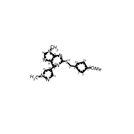 COc1ccc(CSc2nc(-c3cnn(C)c3)c3ncn(C)c3n2)cc1